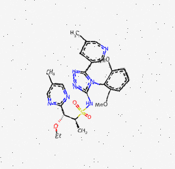 CCO[C@H](c1ncc(C)cn1)[C@H](C)S(=O)(=O)Nc1nnc(-c2cncc(C)c2)n1-c1c(OC)cccc1OC